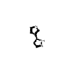 C1=NNC(c2ccoc2)C1